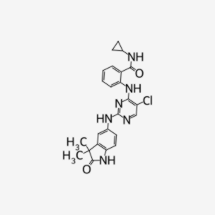 CC1(C)C(=O)Nc2ccc(Nc3ncc(Cl)c(Nc4ccccc4C(=O)NC4CC4)n3)cc21